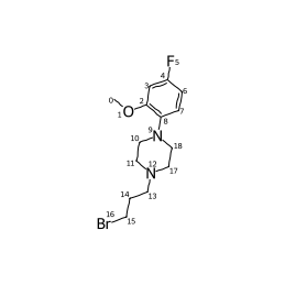 COc1cc(F)ccc1N1CCN(CCCBr)CC1